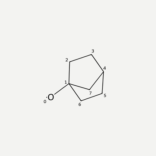 [O]C12CCC(CC1)C2